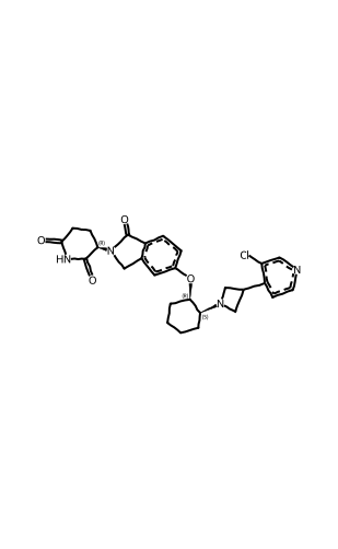 O=C1CC[C@@H](N2Cc3cc(O[C@@H]4CCCC[C@@H]4N4CC(c5ccncc5Cl)C4)ccc3C2=O)C(=O)N1